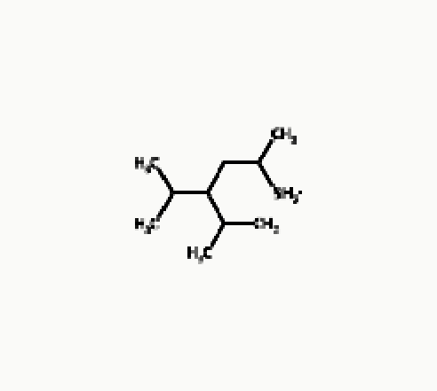 CC([SiH2])CC(C(C)C)C(C)C